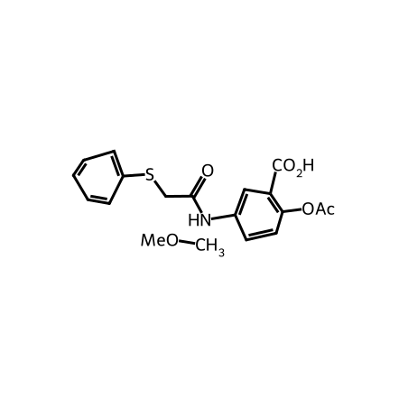 CC(=O)Oc1ccc(NC(=O)CSc2ccccc2)cc1C(=O)O.COC